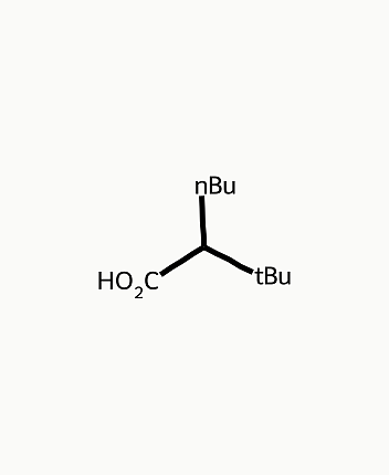 CCCCC(C(=O)O)C(C)(C)C